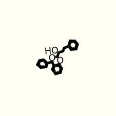 O=C(OC(c1ccccc1)c1ccccc1)C(O)CCc1ccccc1